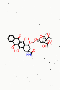 CC(=O)C1(N)Cc2c(O)c3c(c(O)c2C(OCO[C@H]2C[C@](O)(C(C)=O)[C@](O)(C(C)=O)[C@@H](C)O2)C1)C(=O)c1ccccc1C3=O